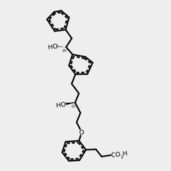 O=C(O)CCc1ccccc1OCC[C@@H](O)CCc1cccc([C@H](O)Cc2ccccc2)c1